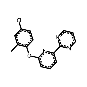 Cc1cc(Cl)ccc1Oc1cccc(-c2ncccn2)n1